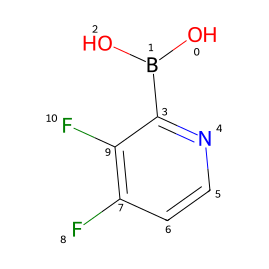 OB(O)c1nccc(F)c1F